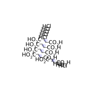 Cl.Cl.Cl.Cl.Cl.Cl.Cl.Cl.O=C(O)/C=C/C(=O)O.O=C(O)/C=C/C(=O)O.O=C(O)/C=C/C(=O)O.O=C(O)/C=C/C(=O)O.O=C(O)/C=C/C(=O)O